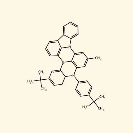 Cc1cc2c3c(c1)-n1c4ccccc4c4cccc(c41)B3C1=CC(C(C)(C)C)=CCC1N2c1ccc(C(C)(C)C)cc1